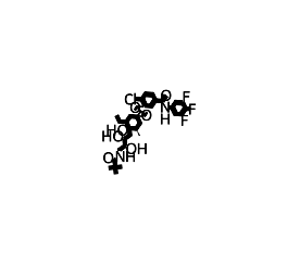 CCC1C[C@@H](S(=O)(=O)c2cc(C(=O)Nc3cc(F)c(F)c(F)c3)ccc2Cl)C[C@H](C)[C@@]1(O)CC(O)C(O)CNC(=O)C(C)(C)C